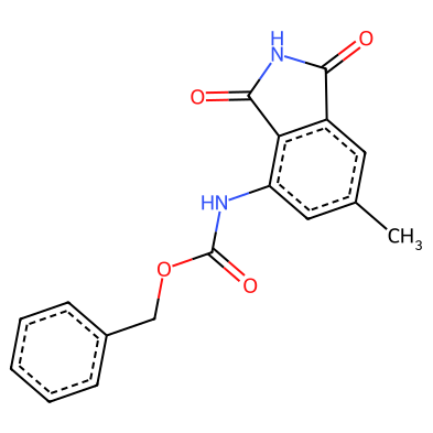 Cc1cc(NC(=O)OCc2ccccc2)c2c(c1)C(=O)NC2=O